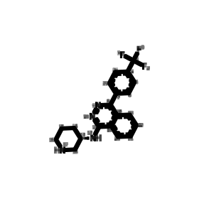 FC(F)(F)c1ccc(-c2nnc(N[C@H]3CCCNC3)c3ccccc23)cc1